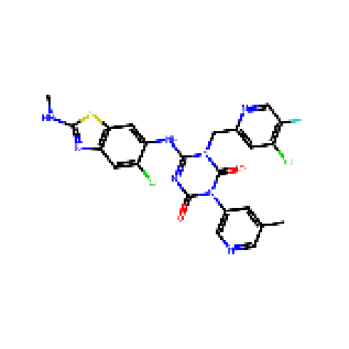 CNc1nc2cc(Cl)c(Nc3nc(=O)n(-c4cncc(C)c4)c(=O)n3Cc3cc(Cl)c(F)cn3)cc2s1